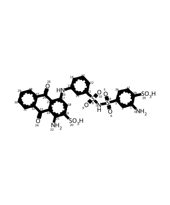 Nc1cc(S(=O)(=O)NS(=O)(=O)c2cccc(Nc3cc(S(=O)(=O)O)c(N)c4c3C(=O)c3ccccc3C4=O)c2)ccc1S(=O)(=O)O